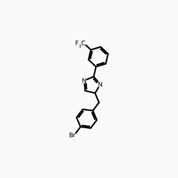 FC(F)(F)c1cccc(C2=NC(Cc3ccc(Br)cc3)C=N2)c1